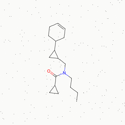 CCCCN(CC1CC1C1CC=CCC1)C(=O)C1CC1